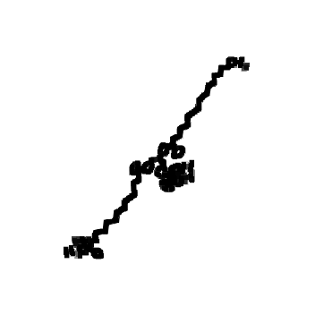 CCCCCCCCCCCCCCCC(=O)O[C@H](COC(=O)CCCCCCCCCCCNC(C)=O)COP(=O)(O)O